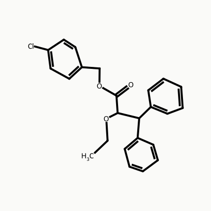 CCOC(C(=O)OCc1ccc(Cl)cc1)C(c1ccccc1)c1ccccc1